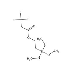 CO[Si](CCOC(=O)CC(F)(F)F)(OC)OC